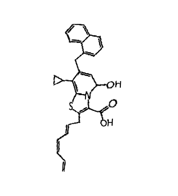 C=C/C=C\C=C\CC1=C(C(=O)O)N2C(=C(C3CC3)C(Cc3cccc4ccccc34)=CC2O)S1